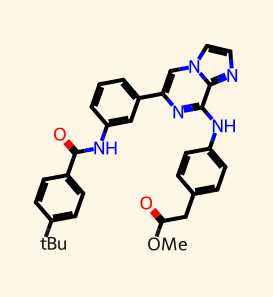 COC(=O)Cc1ccc(Nc2nc(-c3cccc(NC(=O)c4ccc(C(C)(C)C)cc4)c3)cn3ccnc23)cc1